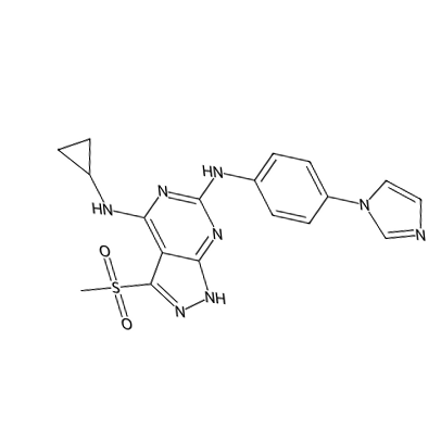 CS(=O)(=O)c1n[nH]c2nc(Nc3ccc(-n4ccnc4)cc3)nc(NC3CC3)c12